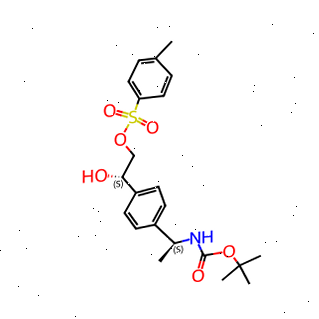 Cc1ccc(S(=O)(=O)OC[C@@H](O)c2ccc([C@H](C)NC(=O)OC(C)(C)C)cc2)cc1